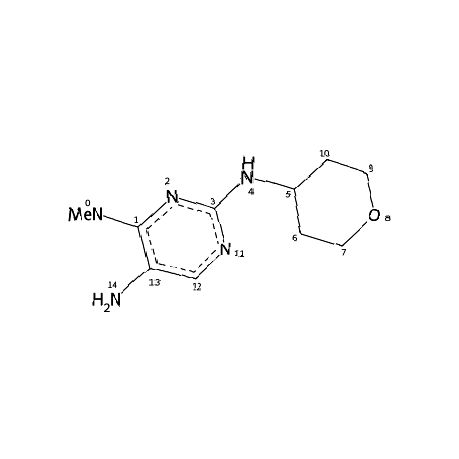 CNc1nc(NC2CCOCC2)ncc1N